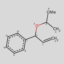 C=CC(OC(C)OC)c1ccccc1